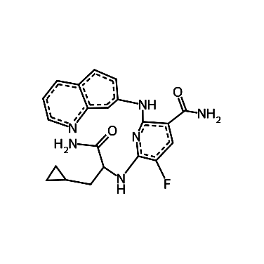 NC(=O)c1cc(F)c(NC(CC2CC2)C(N)=O)nc1Nc1ccc2cccnc2c1